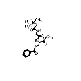 COC(=O)[C@H](CSC(=O)c1ccccc1)NC(=O)CNC(=O)OC(C)(C)C